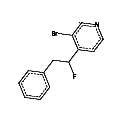 FC(Cc1ccccc1)c1ccn[c]c1Br